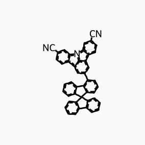 N#Cc1ccc2c3cc(-c4cccc5c4-c4ccccc4C54c5ccccc5-c5ccccc54)cc4c5ccc(C#N)cc5n(c2c1)c34